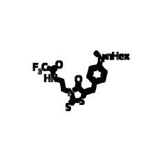 CCCCCCN(C)c1ccc(C=C2SC(=S)N(CCNC(=O)C(F)(F)F)C2=O)cc1